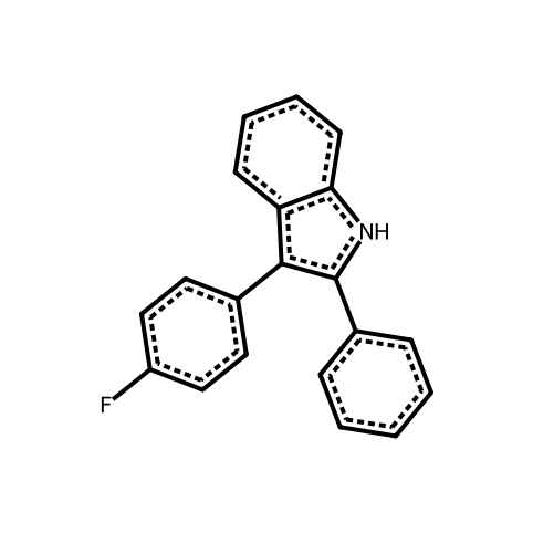 Fc1ccc(-c2c(-c3ccccc3)[nH]c3ccccc23)cc1